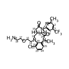 Cc1cc(C(F)(F)F)cc(N2C(=O)C[C@@H]3CN(CCOCCN)c4c(Cl)cccc4N(C)C(=O)[C@H]32)n1